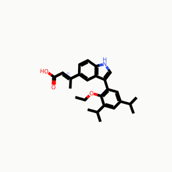 CCOc1c(-c2c[nH]c3ccc(/C(C)=C/C(=O)O)cc23)cc(C(C)C)cc1C(C)C